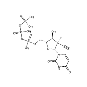 C#C[C@]1(C)[C@H](O)[C@@H](COP(=O)(O)OP(=O)(O)OP(=O)(O)O)O[C@H]1n1ccc(=O)[nH]c1=O